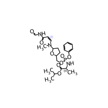 CC(C)OC(=O)[C@H](C)NP(=O)(OCC1CCC(N(C)/C=C\C(=O)NC=O)O1)Oc1ccccc1